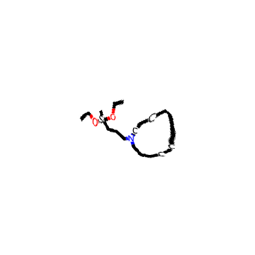 CCO[Si](C)(CCCN1CCCCCCCCCCCC1)OCC